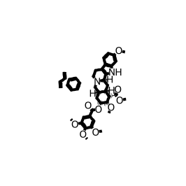 C=CC=C.COC(=O)[C@H]1[C@H]2C[C@@H]3c4[nH]c5cc(OC)ccc5c4CCN3C[C@H]2C[C@@H](OC(=O)c2cc(OC)c(OC)c(OC)c2)[C@@H]1OC.c1ccccc1